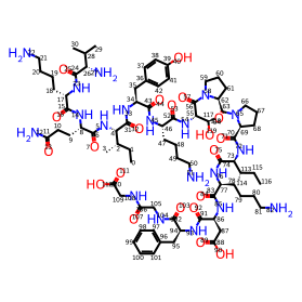 CC[C@H](C)[C@H](NC(=O)[C@H](CCC(N)=O)NC(=O)[C@H](CCCCN)NC(=O)[C@@H](N)C(C)C)C(=O)N[C@@H](Cc1ccc(O)cc1)C(=O)N[C@@H](CCCCN)C(=O)N[C@H](C(=O)N1CCC[C@H]1C(=O)N1CCC[C@H]1C(=O)N[C@H](C(=O)N[C@@H](CCCCN)C(=O)N[C@@H](CC(=O)O)C(=O)N[C@@H](Cc1ccccc1)C(=O)NCC(=O)NCC(=O)O)[C@@H](C)CC)[C@@H](C)O